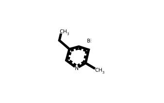 CCc1ccc(C)nc1.[B]